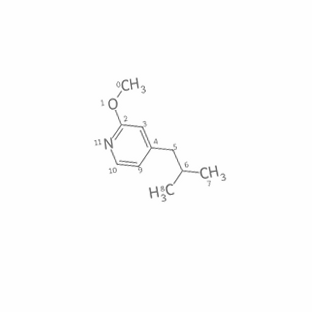 COc1cc(CC(C)C)ccn1